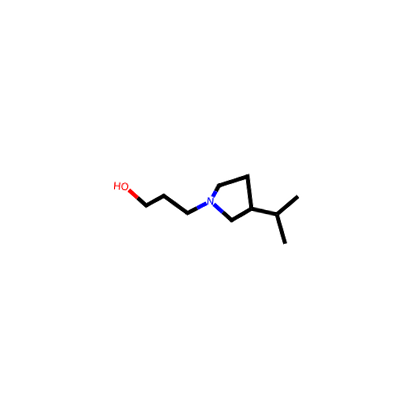 CC(C)C1CCN(CCCO)C1